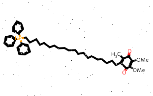 COC1=C(OC)C(=O)C(CCCCCCCCCCCCCCCCCCCC[PH](c2ccccc2)(c2ccccc2)c2ccccc2)=C(C)C1=O